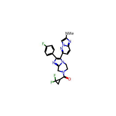 CNc1cn2nc(-c3c(-c4ccc(F)cc4)nc4n3CCN(C(=O)C3CC3(F)F)C4)ccc2n1